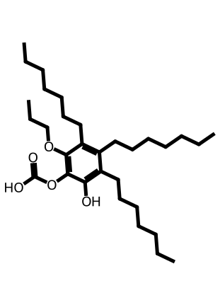 CCCCCCCc1c(O)c(OC(=O)O)c(OCCC)c(CCCCCCC)c1CCCCCCC